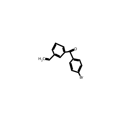 C=Cc1cccc(C(=O)c2ccc(Br)cc2)c1